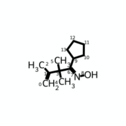 C=C(C)C(C)(C)/C(=N/O)C1CCCC1